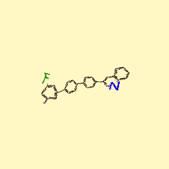 Cc1cc(F)cc(-c2ccc(-c3ccc(-c4cnc5ccccc5c4)cc3)cc2)c1